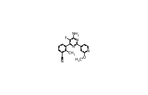 COc1cc(-c2nc(N)c(F)c(-c3cccc(C#N)c3C)n2)ccn1